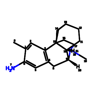 Cc1cc2c(cc1N)C[C@@H]1[C@H]3CCCC[C@]23CCN1C